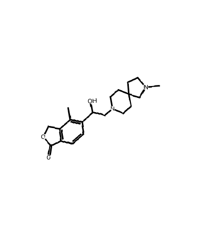 Cc1c(C(O)CN2CCC3(CCN(C)C3)CC2)ccc2c1COC2=O